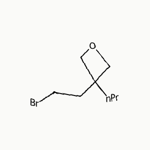 CCCC1(CCBr)COC1